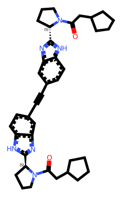 O=C(CC1CCCC1)N1CCC[C@H]1c1nc2cc(C#Cc3ccc4[nH]c([C@@H]5CCCN5C(=O)CC5CCCC5)nc4c3)ccc2[nH]1